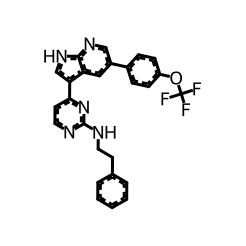 FC(F)(F)Oc1ccc(-c2cnc3[nH]cc(-c4ccnc(NCCc5ccccc5)n4)c3c2)cc1